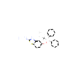 CC(C)(C)[Si](Oc1ccc2sc(N)nc2c1)(c1ccccc1)c1ccccc1